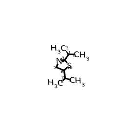 CC(C)C1=NCC(C(C)C)S1